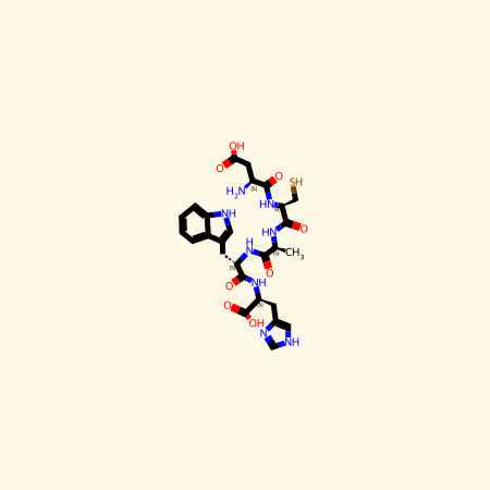 C[C@H](NC(=O)[C@H](CS)NC(=O)[C@@H](N)CC(=O)O)C(=O)N[C@@H](Cc1c[nH]c2ccccc12)C(=O)N[C@@H](Cc1c[nH]cn1)C(=O)O